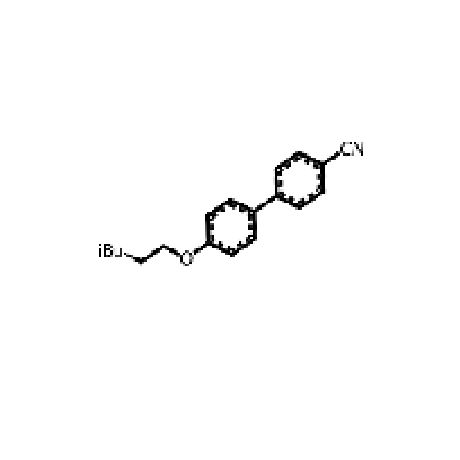 CC[C@H](C)CCOc1ccc(-c2ccc(C#N)cc2)cc1